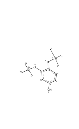 C[Si](C)(C)Oc1ccc(C#N)cc1O[Si](C)(C)C